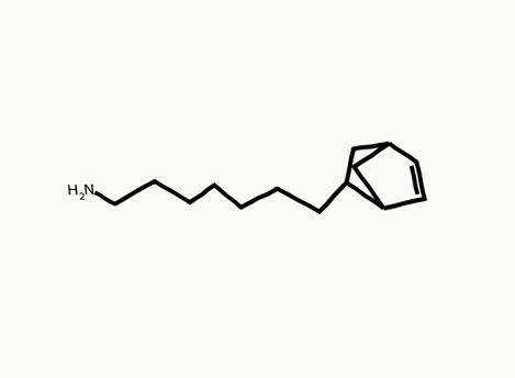 NCCCCCCCC1CC2C=CC1C2